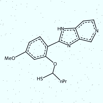 CCCC(S)Oc1cc(OC)ccc1-c1nc2cnccc2[nH]1